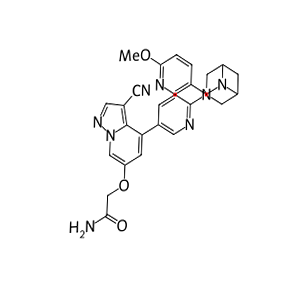 COc1ccc(CN2C3CC2CN(c2ccc(-c4cc(OCC(N)=O)cn5ncc(C#N)c45)cn2)C3)cn1